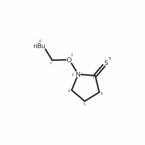 CCCCCON1CCCC1=S